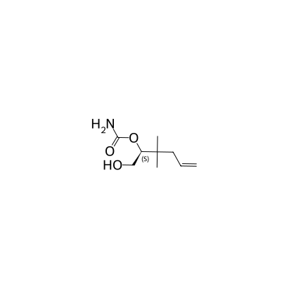 C=CCC(C)(C)[C@@H](CO)OC(N)=O